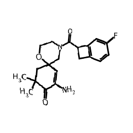 CC1(C)CC2(C=C(N)C1=O)CN(C(=O)C1Cc3ccc(F)cc31)CCO2